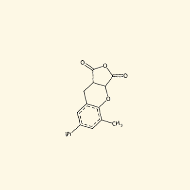 Cc1cc(C(C)C)cc2c1OC1C(=O)OC(=O)C1C2